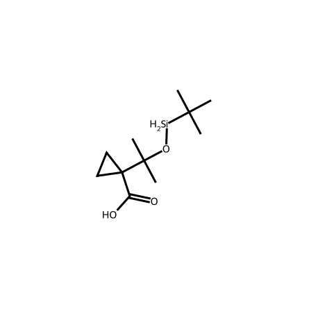 CC(C)(C)[SiH2]OC(C)(C)C1(C(=O)O)CC1